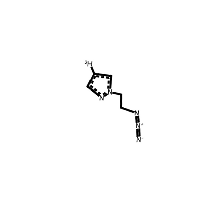 [2H]c1cnn(CCN=[N+]=[N-])c1